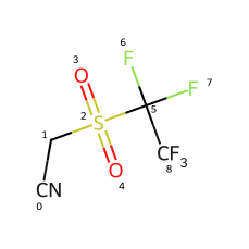 N#CCS(=O)(=O)C(F)(F)C(F)(F)F